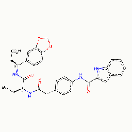 CC(C)C[C@H](NC(=O)Cc1ccc(NC(=O)c2cc3ccccc3[nH]2)cc1)C(=O)N[C@@H](CC(=O)O)c1ccc2c(c1)OCO2